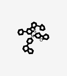 c1ccc(-c2cc(N(c3ccc(-c4cccc5ccccc45)cc3)c3ccc4c(c3)oc3ccccc34)c3sc4c(-c5ccccc5)cccc4c3c2)cc1